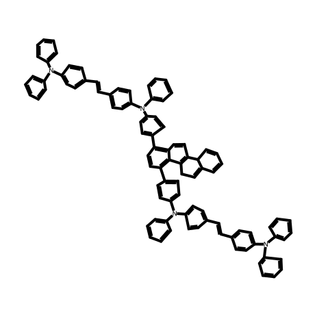 C1=CC2=CCc3c(ccc4c(-c5ccc(N(c6ccccc6)c6ccc(C=Cc7ccc(N(c8ccccc8)c8ccccc8)cc7)cc6)cc5)ccc(-c5ccc(N(c6ccccc6)c6ccc(C=Cc7ccc(N(c8ccccc8)c8ccccc8)cc7)cc6)cc5)c34)C2C=C1